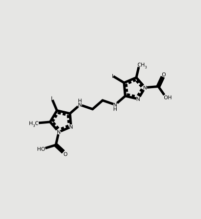 Cc1c(I)c(NCCNc2nn(C(=O)O)c(C)c2I)nn1C(=O)O